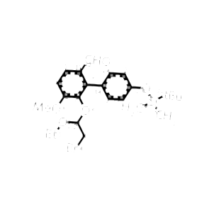 CCOC(CBr)Oc1c(OC)ccc(C=O)c1-c1ccc(O[Si](C)(C)C(C)(C)C)cc1